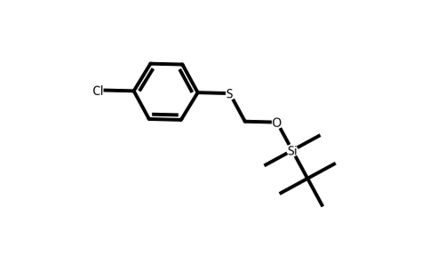 CC(C)(C)[Si](C)(C)OCSc1ccc(Cl)cc1